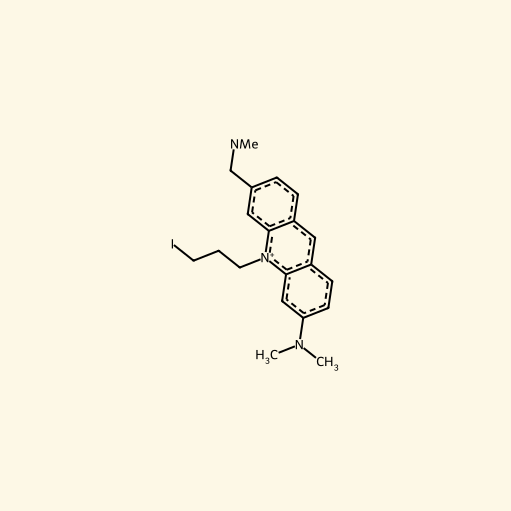 CNCc1ccc2cc3ccc(N(C)C)cc3[n+](CCCI)c2c1